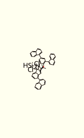 CC1=Cc2c(-c3cccc4ccccc34)cc(-c3cccc4ccccc34)cc2[CH]1[Zr]([Cl])([Cl])([CH]1C(C(C)C)=Cc2c(-c3cccc4ccccc34)cccc21)[SiH](C)C